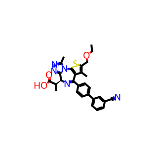 CCOCc1sc2c(c1C)C(c1ccc(-c3cccc(C#N)c3)cc1)=N[C@@H](C(C)C(=O)O)c1nnc(C)n1-2